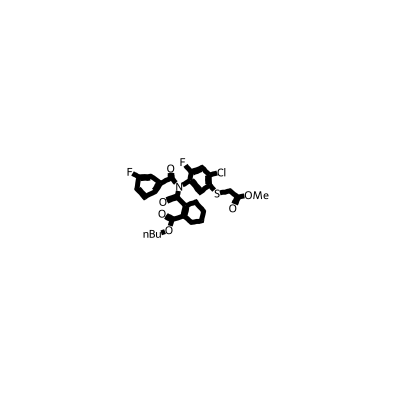 CCCCOC(=O)C1=C(C(=O)N(C(=O)c2cccc(F)c2)c2cc(SCC(=O)OC)c(Cl)cc2F)CCCC1